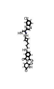 N=C/C(=C\NC1CC(CCCNc2ccc3c(c2)C(=O)N(C2CCC(=O)NC2=O)C3=O)C1)c1cnc2ccc(Cl)cc2n1